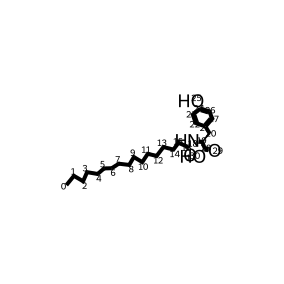 CCCCCCCCCCCCCCCCC(=O)N[C@@H](Cc1ccc(O)cc1)C(=O)O